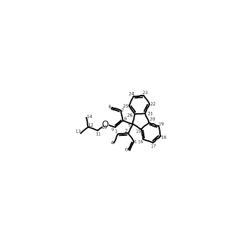 C=C/C(=C\C)C1(/C(C=C)=C/OCC(C)C)c2ccccc2-c2ccccc21